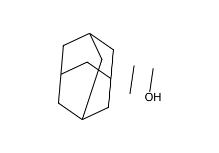 C1C2CC3CC1CC(C2)C3.CC.CO